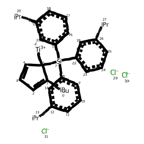 CCC(C)C1=CC=C[C]1([Ti+3])[Si](c1cccc(C(C)C)c1)(c1cccc(C(C)C)c1)c1cccc(C(C)C)c1.[Cl-].[Cl-].[Cl-]